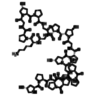 NCCCC[C@H](NC(=O)CNC(=O)[C@@H]1CCCN1C(=O)[C@@H]1C[C@@H](O)CN1C(=O)CNC(=O)[C@@H]1CCCN1C(=O)[C@@H]1C[C@@H](O)CN1C(=O)CNC(=O)[C@@H]1CCCN1C(=O)[C@@H]1C[C@@H](O)CN1C(=O)CNC(=O)[C@@H]1CCCN1C(=O)[C@@H]1C[C@@H](O)CN1C(=O)CNC(=O)[C@@H]1CCCN1C(=O)[C@@H]1C[C@@H](O)CN1)C(=O)N1CCC[C@H]1C(=O)NCC(=O)N1C[C@H](O)C[C@H]1C(=O)N1CCC[C@H]1C(=O)NCC(=O)O